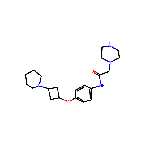 O=C(CN1CCNCC1)Nc1ccc(OC2CC(N3CCCCC3)C2)cc1